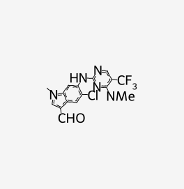 CNc1nc(Nc2cc3c(cc2Cl)c(C=O)cn3C)ncc1C(F)(F)F